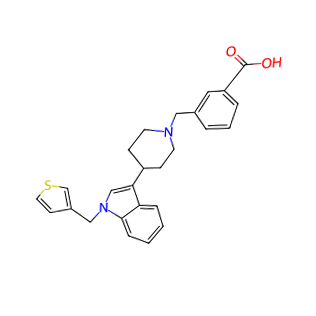 O=C(O)c1cccc(CN2CCC(c3cn(Cc4ccsc4)c4ccccc34)CC2)c1